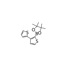 CC1(C)OB(c2sccc2-c2cccs2)OC1(C)C